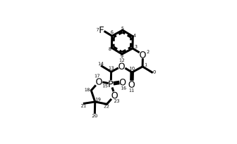 CC(Oc1ccc(F)cc1)C(=O)OC(C)P1(=O)OCC(C)(C)CO1